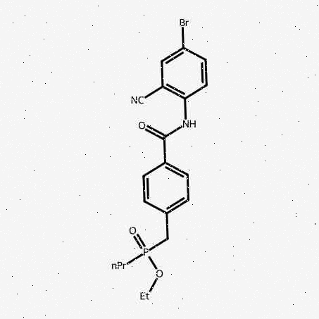 CCCP(=O)(Cc1ccc(C(=O)Nc2ccc(Br)cc2C#N)cc1)OCC